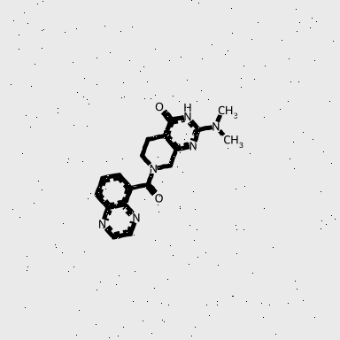 CN(C)c1nc2c(c(=O)[nH]1)CCN(C(=O)c1cccc3nccnc13)C2